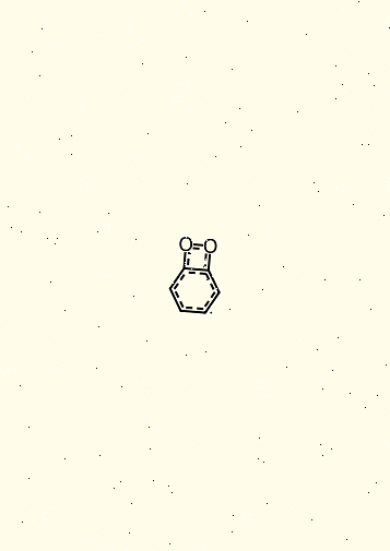 [c]1ccc2ooc2c1